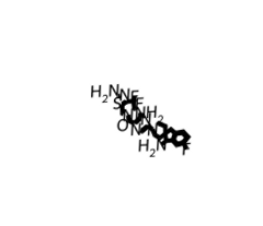 Nc1nc2c(s1)CN(C(=O)c1ncc(N3CCC4(CC3)Cc3ccc(F)cc3C4N)nc1N)CC2(F)F